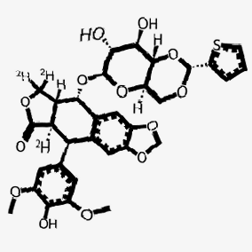 [2H]C1([2H])OC(=O)[C@]2([2H])[C@H](c3cc(OC)c(O)c(OC)c3)c3cc4c(cc3[C@@H](O[C@@H]3O[C@@H]5CO[C@@H](c6cccs6)O[C@H]5[C@H](O)[C@H]3O)[C@@H]12)OCO4